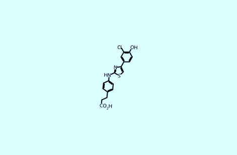 O=C(O)CCc1ccc(Nc2nc(-c3ccc(O)c(Cl)c3)cs2)cc1